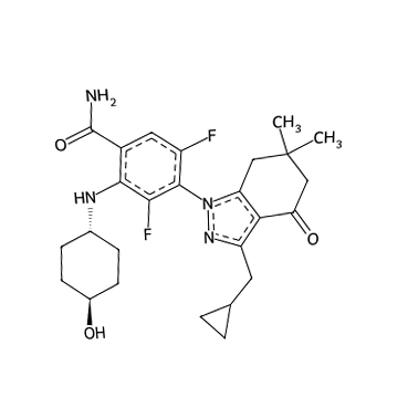 CC1(C)CC(=O)c2c(CC3CC3)nn(-c3c(F)cc(C(N)=O)c(N[C@H]4CC[C@H](O)CC4)c3F)c2C1